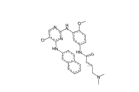 COc1ccc(NC(=O)/C=C/CN(C)C)cc1Nc1ncc(Cl)c(Nc2ccc3ccccc3c2)n1